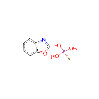 OP(O)(=S)Oc1nc2ccccc2o1